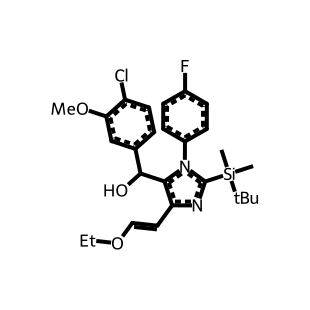 CCOC=Cc1nc([Si](C)(C)C(C)(C)C)n(-c2ccc(F)cc2)c1C(O)c1ccc(Cl)c(OC)c1